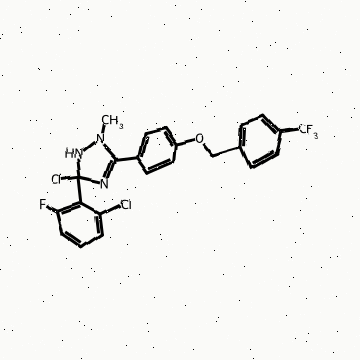 CN1NC(Cl)(c2c(F)cccc2Cl)N=C1c1ccc(OCc2ccc(C(F)(F)F)cc2)cc1